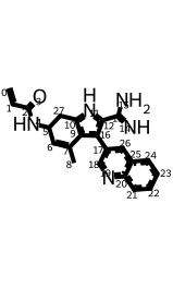 C=CC(=O)NC1C=C(C)c2c([nH]c(C(=N)N)c2-c2cnc3ccccc3c2)C1